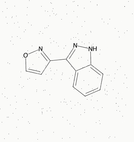 c1ccc2c(-c3ccon3)n[nH]c2c1